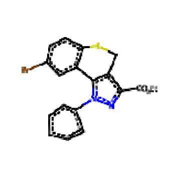 CCOC(=O)c1nn(-c2ccccc2)c2c1CSc1ccc(Br)cc1-2